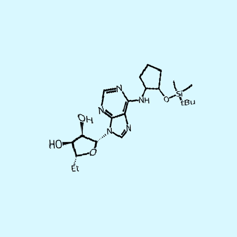 CC[C@H]1O[C@@H](n2cnc3c(NC4CCCC4O[Si](C)(C)C(C)(C)C)ncnc32)[C@H](O)[C@@H]1O